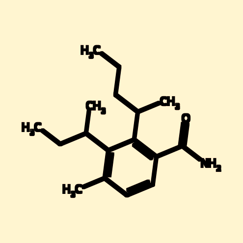 CCCC(C)c1c(C(N)=O)ccc(C)c1C(C)CC